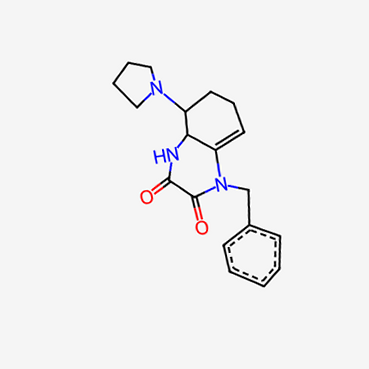 O=C1NC2C(=CCCC2N2CCCC2)N(Cc2ccccc2)C1=O